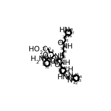 NC(=O)C1(NC(=O)[C@@H](CCCC(=O)O)NC(=O)[C@@H](CCCCNC(=O)CCC2=CC=CNC2)NC(=O)c2ccc(Nc3nc4ccccc4[nH]3)cc2)CCCCC1